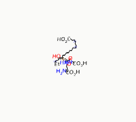 CC/C=C\C[C@@H](O)[C@H](C=CC=CC=CC/C=C\C/C=C\CCC(=O)O)SC[C@H](NC(=O)CC[C@H](N)C(=O)O)C(=O)NCC(=O)O